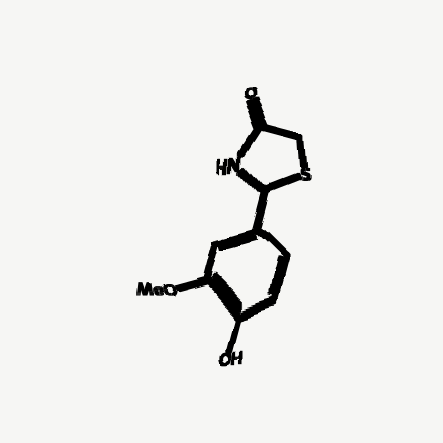 COc1cc(C2NC(=O)CS2)ccc1O